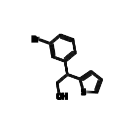 OCC(c1cccc(Br)c1)c1cccs1